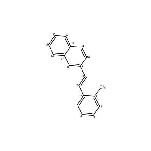 N#Cc1ccccc1C=Cc1ccc2ccccc2c1